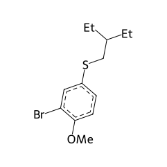 CCC(CC)CSc1ccc(OC)c(Br)c1